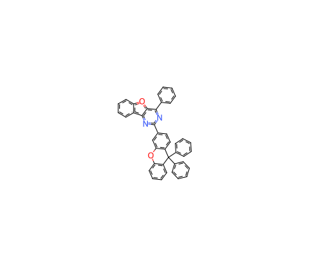 c1ccc(-c2nc(-c3ccc4c(c3)Oc3ccccc3C4(c3ccccc3)c3ccccc3)nc3c2oc2ccccc23)cc1